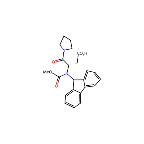 COC(=O)N(C1c2ccccc2-c2ccccc21)[C@@H](CC(=O)O)C(=O)N1CCCC1